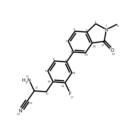 CN1Cc2ccc(-c3ccc(CC(N)C#N)c(F)c3)cc2C1=O